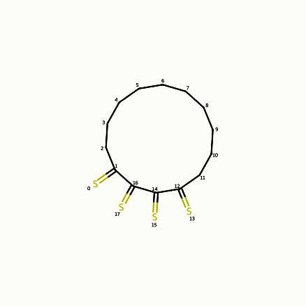 S=C1CCCCCCCCCCC(=S)C(=S)C1=S